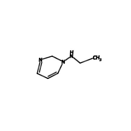 CCNN1C=CC=NC1